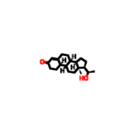 C[C@@H](O)[C@@H]1CC[C@@H]2[C@@H]3CCC4=CC(=O)CC[C@@H]4[C@H]3CC[C@@]21C